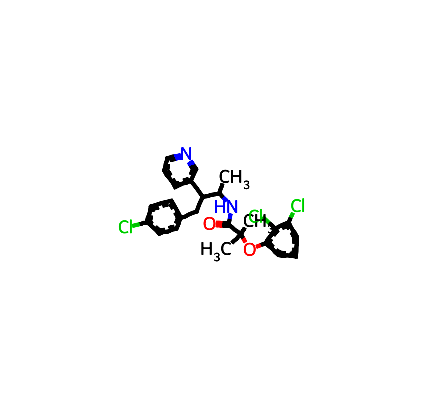 CC(NC(=O)C(C)(C)Oc1cccc(Cl)c1Cl)C(Cc1ccc(Cl)cc1)c1cccnc1